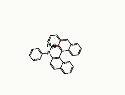 Cc1ccc2ccccc2c1-c1c(P(c2ccccc2)c2ccccc2)ccc2ccccc12